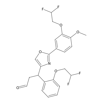 COc1ccc(-c2nc(C(CC=O)c3ccccc3OCC(F)F)co2)cc1OCC(F)F